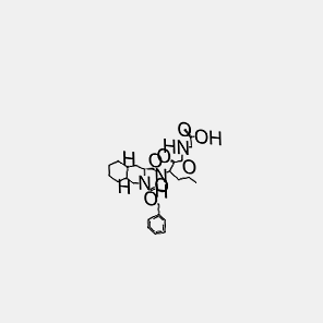 CCCC(NC(=O)[C@@H]1C[C@@H]2CCCC[C@@H]2CN1C(=O)OCc1ccccc1)C(=O)C(=O)NCC(=O)O